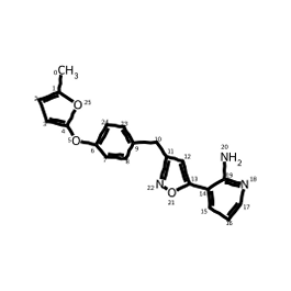 Cc1ccc(Oc2ccc(Cc3cc(-c4cccnc4N)on3)cc2)o1